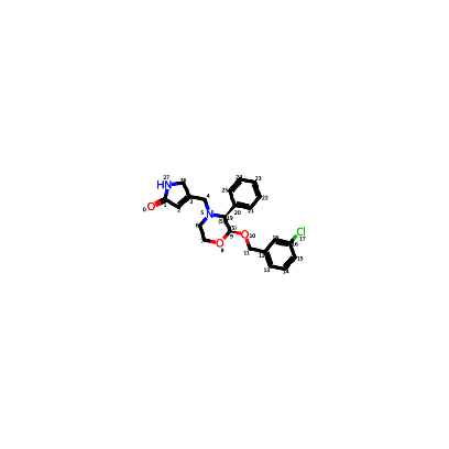 O=C1C=C(CN2CCO[C@H](OCc3cccc(Cl)c3)[C@@H]2c2ccccc2)CN1